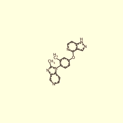 Cc1cc(Oc2nccc3[nH]ncc23)ccc1-n1c(C)nc2cnccc21